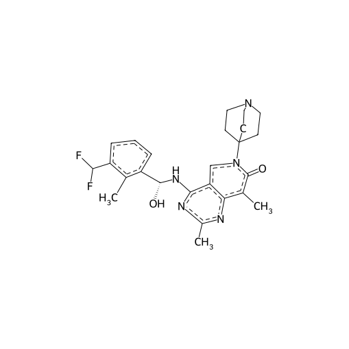 Cc1nc(N[C@H](O)c2cccc(C(F)F)c2C)c2cn(C34CCN(CC3)CC4)c(=O)c(C)c2n1